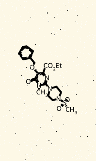 CCOC(=O)c1nc(N2CCN(S(C)(=O)=O)CC2)n(C)c(=O)c1OCc1ccccc1